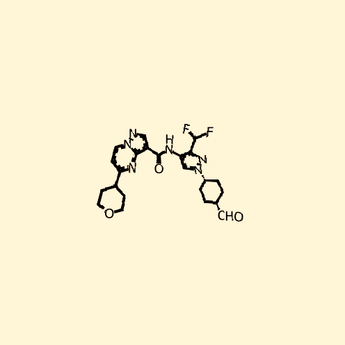 O=C[C@H]1CC[C@H](n2cc(NC(=O)c3cnn4ccc(C5CCOCC5)nc34)c(C(F)F)n2)CC1